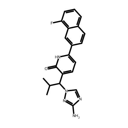 CC(C)C(c1ccc(-c2ccc3cccc(F)c3c2)[nH]c1=O)n1cnc(N)n1